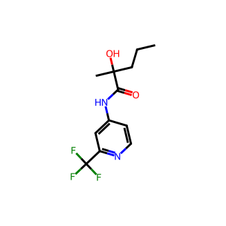 CCCC(C)(O)C(=O)Nc1ccnc(C(F)(F)F)c1